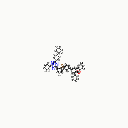 c1ccc(-c2ccc(-c3nc(-c4ccccc4)nc(-c4cccc5c4sc4ccc(-c6cc(-c7ccccc7)c7oc8ccccc8c7c6)cc45)n3)cc2)cc1